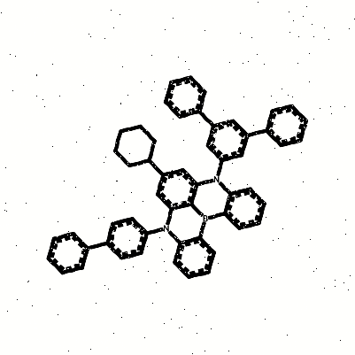 c1ccc(-c2ccc(N3c4ccccc4B4c5ccccc5N(c5cc(-c6ccccc6)cc(-c6ccccc6)c5)c5cc(C6CCCCC6)cc3c54)cc2)cc1